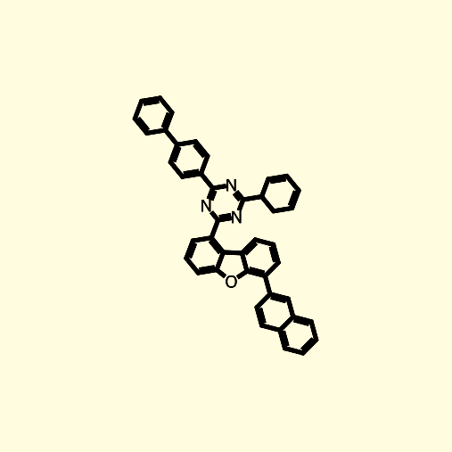 C1=CCC(c2nc(-c3ccc(-c4ccccc4)cc3)nc(-c3cccc4oc5c(-c6ccc7ccccc7c6)cccc5c34)n2)C=C1